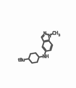 Cn1ncc2cc(NC3CCC(C(C)(C)C)CC3)ccc21